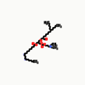 CCCCC/C=C\C/C=C\CCCCCCCC(=O)OCC(COCC(C=O)CCCCCCC(CCCCC)CCCCC)COC(=O)OCCCN(CC)CC